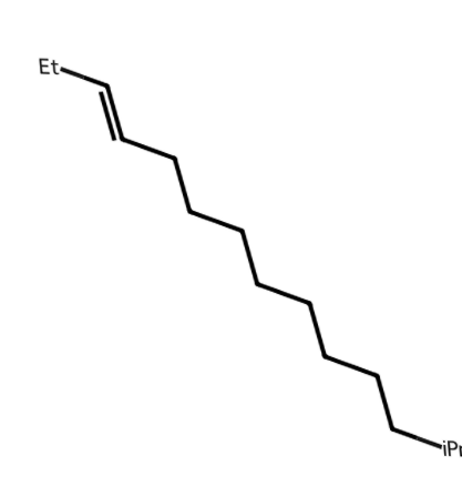 CCC=CCCCCCCCCC(C)C